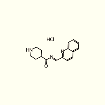 Cl.O=C(N=Cc1ccc2ccccc2n1)C1CCNCC1